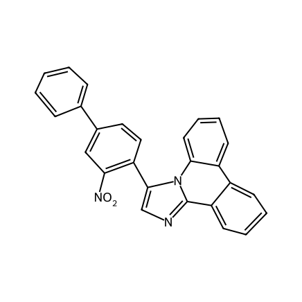 O=[N+]([O-])c1cc(-c2ccccc2)ccc1-c1cnc2c3ccccc3c3ccccc3n12